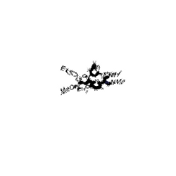 CCC[C@H]1C[C@@H](N(C(=O)OCC)c2c(C(=O)N(C)OC)oc3ccc(/C(C=N)=C/NC)nc23)CCO1